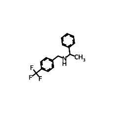 CC(NCc1ccc(C(F)(F)F)cc1)c1ccccc1